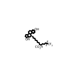 C[C@]12C[C@H](CCCCCCCCC(CCCC(F)(F)C(F)(F)F)C(=O)O)C3c4ccc(O)cc4CCC3C1CC[C@@H]2O